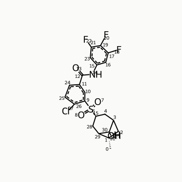 C[C@H]1CC2C[C@H](S(=O)(=O)c3cc(C(=O)Nc4cc(F)c(F)c(F)c4)ccc3Cl)CC1[C@@H]2O